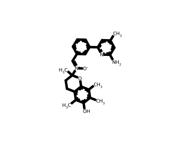 Cc1cc(N)nc(-c2cccc(/C=[N+](\[O-])C3(C)CCc4c(C)c(O)c(C)c(C)c4O3)c2)c1